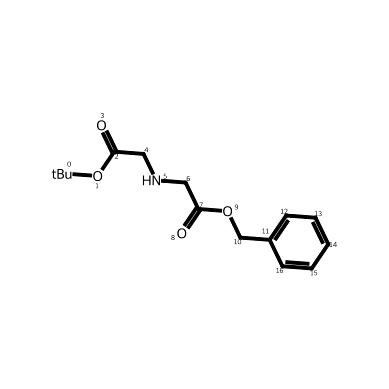 CC(C)(C)OC(=O)CNCC(=O)OCc1ccccc1